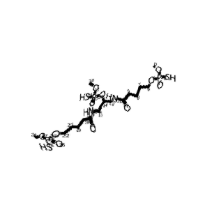 COP(=O)(S)OCCCCC(=O)NCC(CNC(=O)CCCCOP(=O)(S)OC)OP(=O)(S)OC